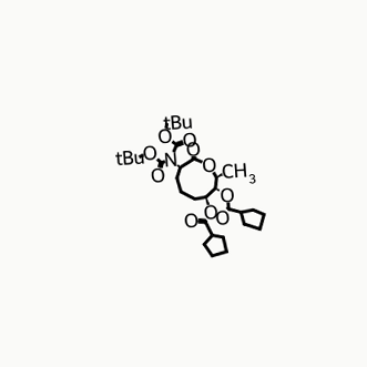 C[C@@H]1OC(=O)[C@@H](N(C(=O)OC(C)(C)C)C(=O)OC(C)(C)C)CCC[C@H](OC(=O)C2CCCC2)[C@H]1OC(=O)C1CCCC1